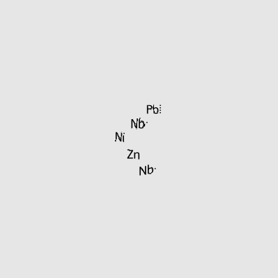 [Nb].[Nb].[Ni].[Pb].[Zn]